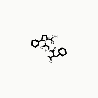 CC(=O)C(Cc1ccccc1)C(=S)NCC(=O)N1C(c2ccccc2)CC[C@H]1C(=O)O